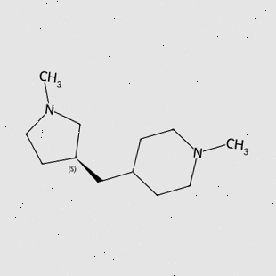 CN1CCC(C[C@H]2CCN(C)C2)CC1